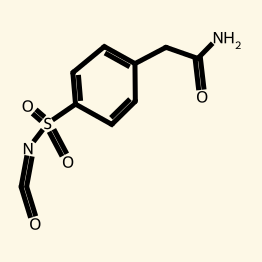 NC(=O)Cc1ccc(S(=O)(=O)N=C=O)cc1